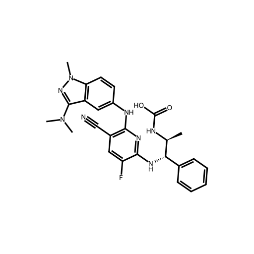 C[C@H](NC(=O)O)[C@@H](Nc1nc(Nc2ccc3c(c2)c(N(C)C)nn3C)c(C#N)cc1F)c1ccccc1